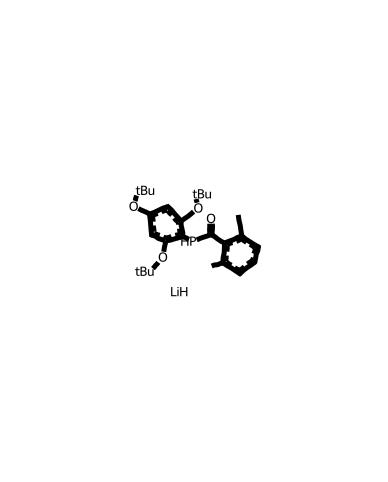 Cc1cccc(C)c1C(=O)Pc1c(OC(C)(C)C)cc(OC(C)(C)C)cc1OC(C)(C)C.[LiH]